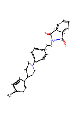 Cc1ccc(C2CCN(c3ccc(CCN4C(=O)c5ccccc5C4=O)cc3)CC2)cc1